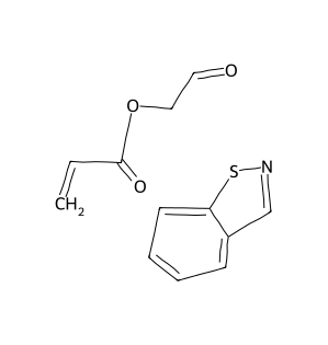 C=CC(=O)OCC=O.c1ccc2sncc2c1